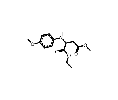 CCOC(=O)C(CC(=O)OC)Nc1ccc(OC)cc1